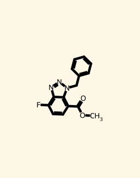 COC(=O)c1ccc(F)c2nnn(Cc3ccccc3)c12